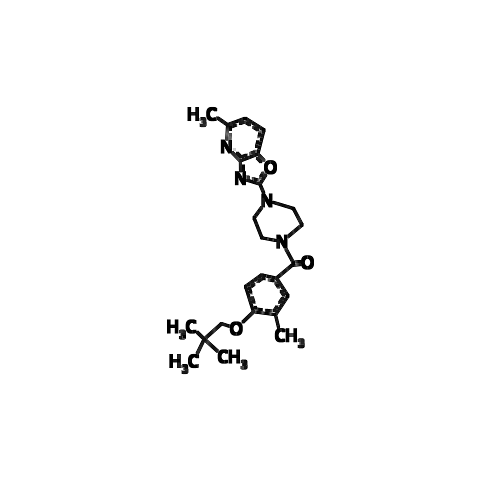 Cc1ccc2oc(N3CCN(C(=O)c4ccc(OCC(C)(C)C)c(C)c4)CC3)nc2n1